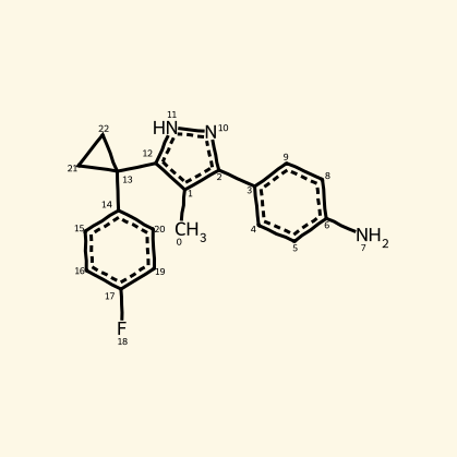 Cc1c(-c2ccc(N)cc2)n[nH]c1C1(c2ccc(F)cc2)CC1